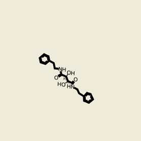 O=C(NCCc1ccccc1)[C@H](O)[C@@H](O)C(=O)NCCc1ccccc1